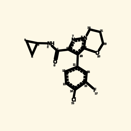 O=C(NC1CC1)c1nn2c(c1-c1ccc(Cl)c(F)c1)OCCC2